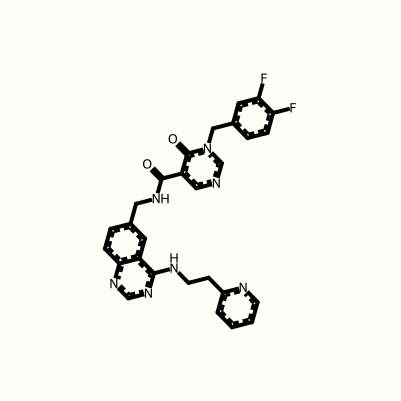 O=C(NCc1ccc2ncnc(NCCc3ccccn3)c2c1)c1cncn(Cc2ccc(F)c(F)c2)c1=O